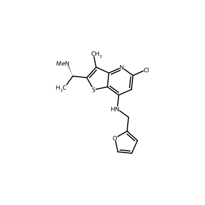 CN[C@@H](C)c1sc2c(NCc3ccco3)cc(Cl)nc2c1C